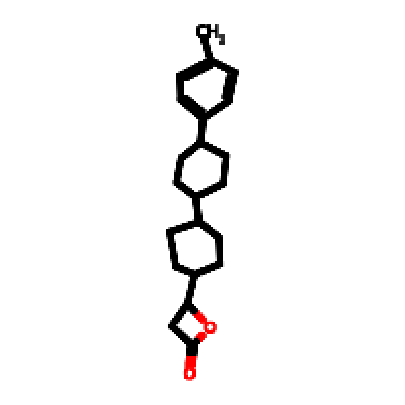 Cc1ccc(C2CCC(C3CCC(C4CC(=O)O4)CC3)CC2)cc1